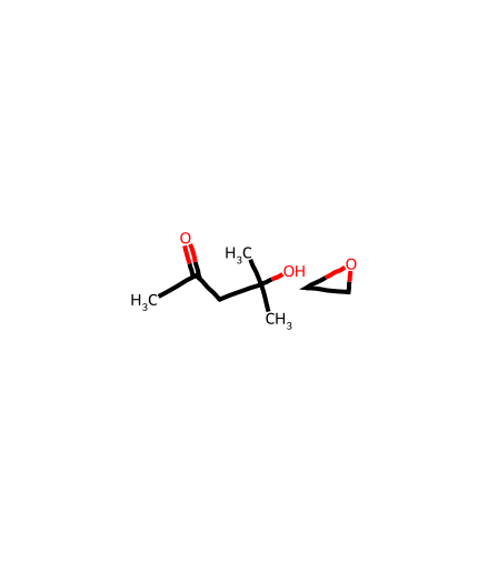 C1CO1.CC(=O)CC(C)(C)O